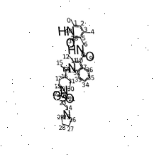 Cc1cc(C)c(CNC(=O)c2c(C)n([C@H](C)C3CCN(S(=O)(=O)CCN4CCCC4)CC3)c3ccccc23)c(=O)[nH]1